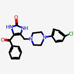 O=C(c1ccccc1)c1[nH]c(=O)[nH]c1CN1CCN(c2ccc(Cl)cc2)CC1